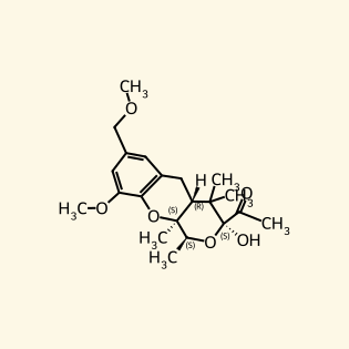 COCc1cc2c(c(OC)c1)O[C@]1(C)[C@H](C)O[C@](O)(C(C)=O)C(C)(C)[C@H]1C2